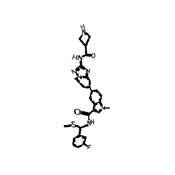 CSC(NC(=O)c1cn(C)c2ccc(-c3ccn4nc(NC(=O)C5CNC5)nc4c3)cc12)c1cccc(F)c1